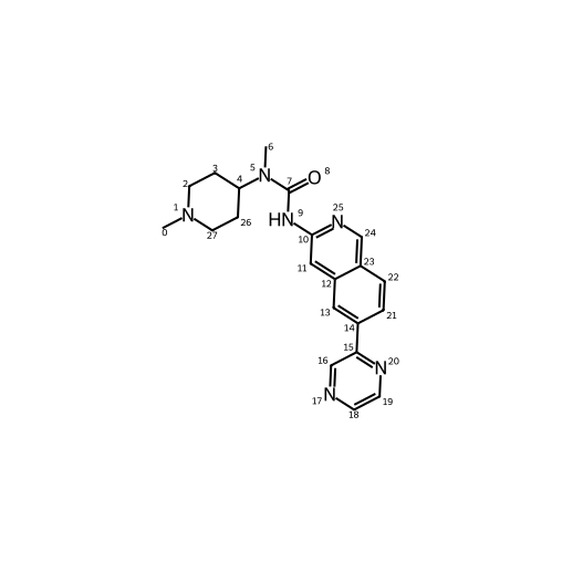 CN1CCC(N(C)C(=O)Nc2cc3cc(-c4cnccn4)ccc3cn2)CC1